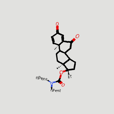 CCCCCN(CCCCC)C(=O)O[C@@]1(CC)CCC2C3CC(=O)C4=CC(=O)C=C[C@]4(C)C3CC[C@@]21C